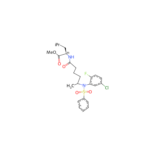 COC(=O)[C@@H](CC(C)C)NC(=O)CCCC(C)N(c1cc(Cl)ccc1F)S(=O)(=O)c1ccccc1